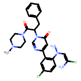 CN1CCN(C(=O)C(Cc2ccccc2)n2cnc(-c3cc(Cl)ccc3N(N)/C=C(\N)Cl)cc2=O)CC1